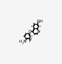 Nc1ccc(Oc2ccnc3cc(O)ccc23)cc1F